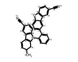 CC1C=Cc2c(n(-c3ccccc3-c3ccc4oc5ccc(C#N)cc5c4c3)c3ccc(C#N)cc23)C1